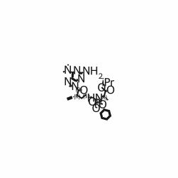 C#C[C@H]1C[C@@H](CO[P@](=O)(N[C@H](C)C(=O)OC(C)C)Oc2ccccc2)O[C@H]1n1cnc2c(N(C)C)nc(N)nc21